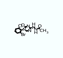 CC(=O)NNc1ncn(-c2c(Cl)cccc2Br)c(=O)n1